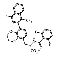 Cc1nc(-c2ccc(C[C@H](NC(=O)c3c(F)cccc3F)C(=O)O)c3c2OCCO3)c(C(F)(F)F)c2ccccc12